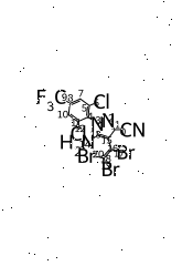 N#Cc1nn(-c2c(Cl)cc(C(F)(F)F)cc2Cl)c(N)c1C(Br)=C(Br)Br